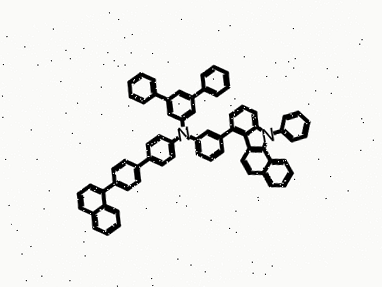 c1ccc(-c2cc(-c3ccccc3)cc(N(c3ccc(-c4ccc(-c5cccc6ccccc56)cc4)cc3)c3cccc(-c4cccc5c4c4ccc6ccccc6c4n5-c4ccccc4)c3)c2)cc1